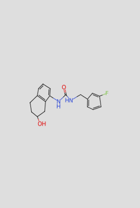 O=C(NCc1cccc(F)c1)Nc1cccc2c1CC(O)CC2